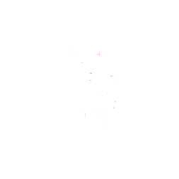 CC(O)COCc1c(Cl)ccc(Cl)c1Cl